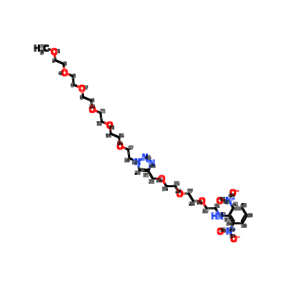 COCCOCCOCCOCCOCCOCCn1cc(COCCOCCOCCNc2c([N+](=O)[O-])cccc2[N+](=O)[O-])nn1